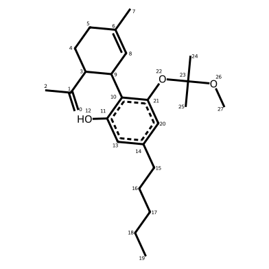 C=C(C)C1CCC(C)=CC1c1c(O)cc(CCCCC)cc1OC(C)(C)OC